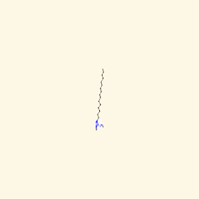 CCCCCCCCCCCCCCCCCN(CC)CC